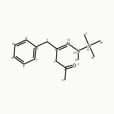 CC(=O)C/C(Cc1ccccc1)=N\N(C)[Si](C)(C)C